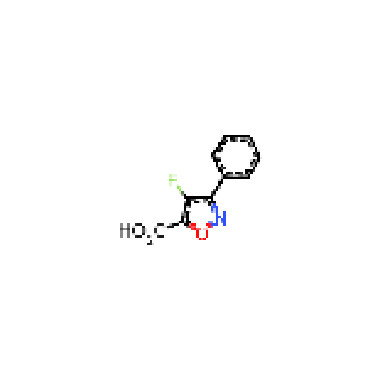 O=C(O)c1onc(-c2ccccc2)c1F